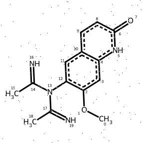 COc1cc2[nH]c(=O)ccc2cc1N(C(C)=N)C(C)=N